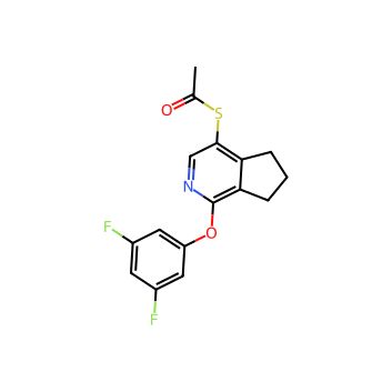 CC(=O)Sc1cnc(Oc2cc(F)cc(F)c2)c2c1CCC2